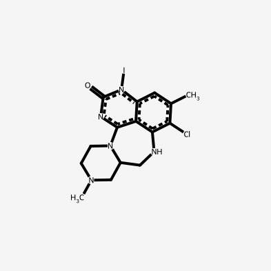 Cc1cc2c3c(nc(=O)n2I)N2CCN(C)CC2CNc3c1Cl